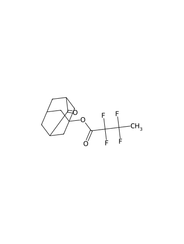 CC(F)(F)C(F)(F)C(=O)OC12CC3CC(C1)C(=O)C(C3)C2